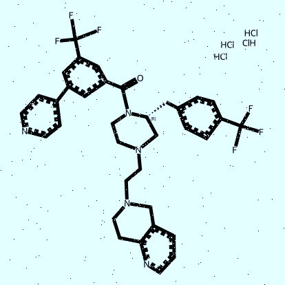 Cl.Cl.Cl.Cl.O=C(c1cc(-c2ccncc2)cc(C(F)(F)F)c1)N1CCN(CCN2CCc3ncccc3C2)C[C@H]1Cc1ccc(C(F)(F)F)cc1